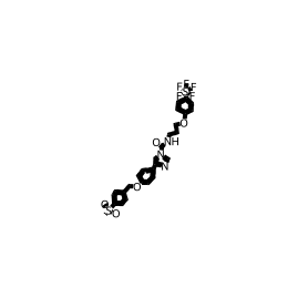 CS(=O)(=O)c1ccc(COc2ccc(-c3cn(C(=O)NCCCOc4ccc(S(F)(F)(F)(F)F)cc4)cn3)cc2)cc1